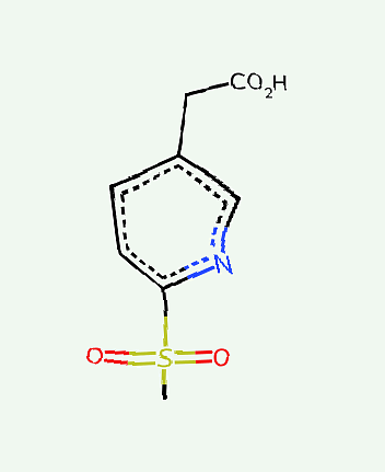 CS(=O)(=O)c1ccc(CC(=O)O)cn1